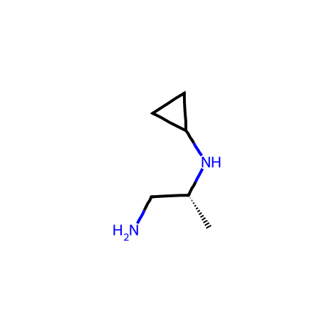 C[C@H](CN)NC1CC1